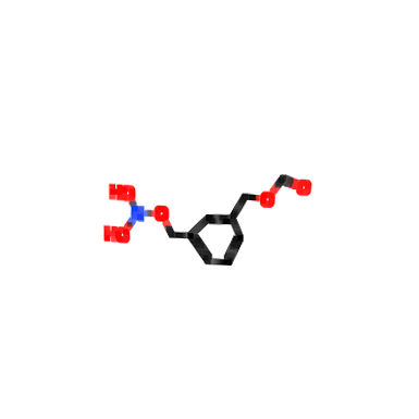 O=COCc1cccc(CON(O)O)c1